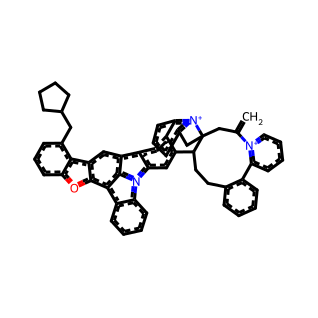 C=C1CC23Cc4cccc([n+]42)-c2cc4c5cc6c(oc7cccc(CC8CCCC8)c76)c6c7ccccc7n(c4cc2C3CCc2ccccc2-c2cccc[n+]21)c56